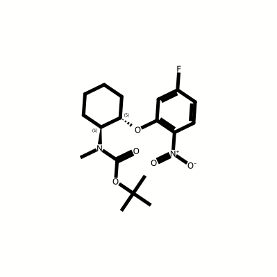 CN(C(=O)OC(C)(C)C)[C@H]1CCCC[C@@H]1Oc1cc(F)ccc1[N+](=O)[O-]